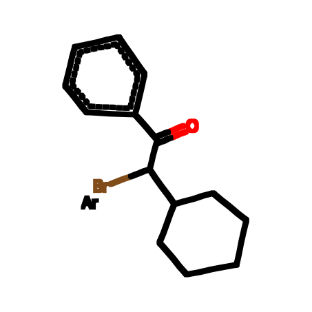 O=C(c1ccccc1)C(Br)C1CCCCC1.[Ar]